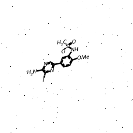 COc1ccc(-c2cnc(N)c(I)n2)cc1NS(C)(=O)=O